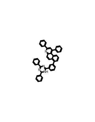 c1ccc(C2=NC(c3ccccc3)NC(c3cccc(-c4cccc5c4ccc4nc(-c6ccccc6)cc(-c6ccccc6)c45)c3)=N2)cc1